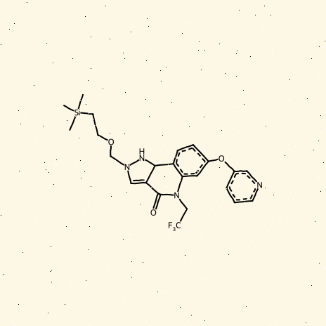 C[Si](C)(C)CCOCN1C=C2C(=O)N(CC(F)(F)F)c3cc(Oc4cccnc4)ccc3C2N1